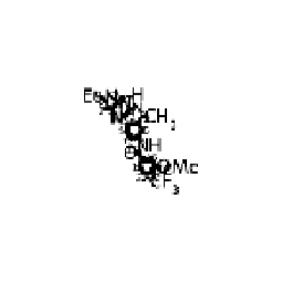 CCn1cc2ncc(N[C@@H](C)c3cccc(NC(=O)c4ccc(C(F)(F)F)c(OC)c4)c3)nc2n1